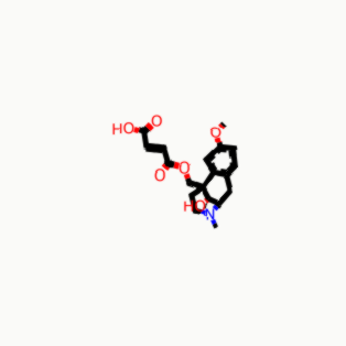 COc1ccc2c(c1)C1(COC(=O)/C=C/C(=O)O)CCN(C)C(C2)[C@@]1(C)O